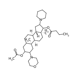 CCCC(=O)OC1C(N2CCCCC2)C[C@H]2[C@@H]3CCC4CC(OC(C)=O)C(N5CCOCC5)C[C@]4(C)[C@@H]3CC[C@]12C